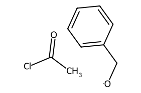 CC(=O)Cl.[O]Cc1ccccc1